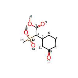 COC(=O)C(C1CCCC(=O)C1)S(C)(=O)=O